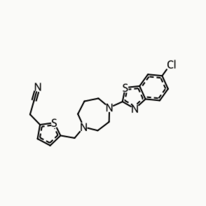 N#CCc1ccc(CN2CCCN(c3nc4ccc(Cl)cc4s3)CC2)s1